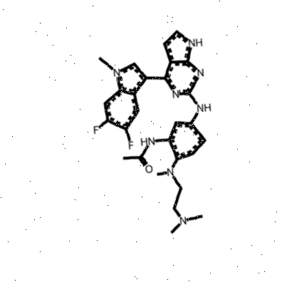 CC(=O)Nc1cc(Nc2nc(-c3cn(C)c4cc(F)c(F)cc34)c3cc[nH]c3n2)ccc1N(C)CCN(C)C